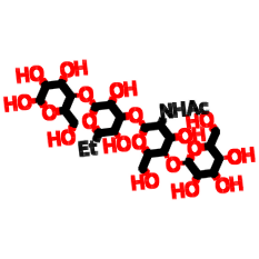 CCC1O[C@@H](O[C@@H]2C(CO)O[C@@H](O)C(O)C2O)C(O)C(O[C@@H]2OC(CO)[C@@H](O[C@@H]3OC(CO)[C@H](O)C(O)C3O)C(O)C2NC(C)=O)[C@H]1O